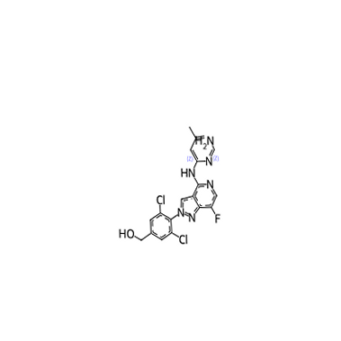 C=C(C)/C=C(\N=C/N)Nc1ncc(F)c2nn(-c3c(Cl)cc(CO)cc3Cl)cc12